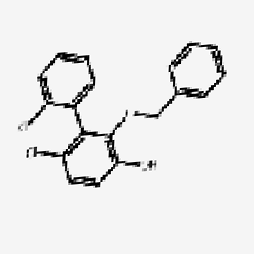 Oc1ccc(Cl)c(-c2ccccc2Cl)c1OCc1ccccc1